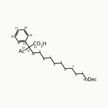 CCCCCCCCCCCCCCCCCCCCC(C(C)=O)(C(=O)O)c1ccccc1